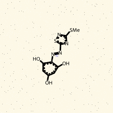 CSc1nsc(/N=N/c2c(O)cc(O)cc2O)n1